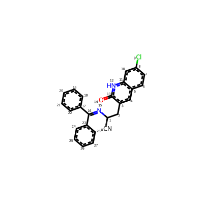 N#CC(Cc1cc2ccc(Cl)cc2[nH]c1=O)N=C(c1ccccc1)c1ccccc1